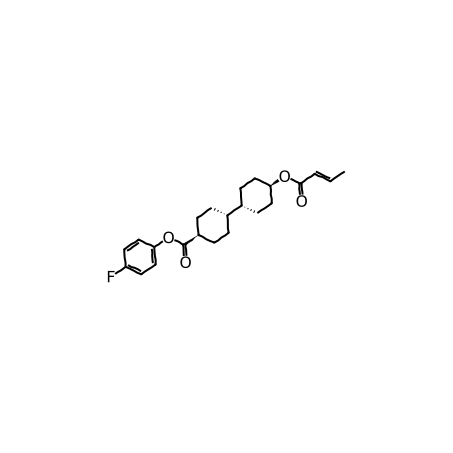 C/C=C/C(=O)O[C@H]1CC[C@H]([C@H]2CC[C@H](C(=O)Oc3ccc(F)cc3)CC2)CC1